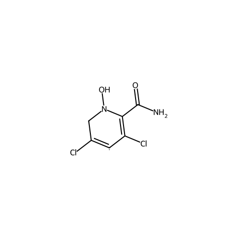 NC(=O)C1=C(Cl)[C]=C(Cl)CN1O